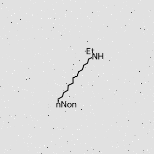 C[CH]NCCCCCCCCCCCCCCCCCCCCCC